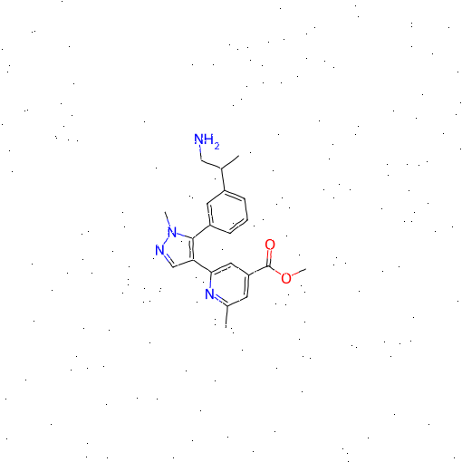 COC(=O)c1cc(C)nc(-c2cnn(C)c2-c2cccc(C(C)CN)c2)c1